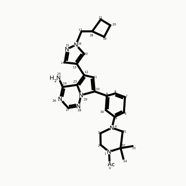 CC(=O)N1CCN(c2cccc(-c3cc(-c4cnn(CC5CCC5)c4)c4c(N)ncnn34)c2)CC1(C)C